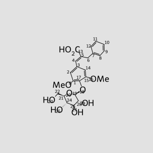 COc1cc(C=C(Cc2ccccc2)C(=O)O)cc(OC)c1O[C@@H]1O[C@H](CO)[C@@H](O)[C@H](O)[C@H]1O